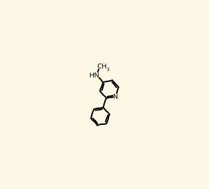 CNc1ccnc(-c2ccccc2)c1